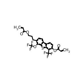 C=CC(=O)OCCCc1ccc2c(sc3c(C(F)(F)F)c(OC(=O)C=C)ccc32)c1OC(F)(F)F